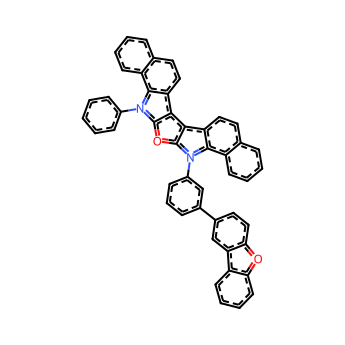 c1ccc(-n2c3oc4c(c5ccc6ccccc6c5n4-c4cccc(-c5ccc6oc7ccccc7c6c5)c4)c3c3ccc4ccccc4c32)cc1